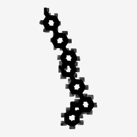 Ic1ccc(-c2ccc(-c3ccc4cc(-c5ccc(-c6cccc7c6sc6ccccc67)cc5)cnc4c3)cc2)cc1